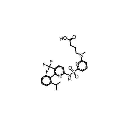 CC(C)c1ccccc1-c1nc(NS(=O)(=O)c2cccc(N(C)CCCC(=O)O)n2)ccc1C(F)(F)F